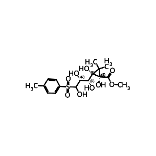 COC(=O)[C@]1(O)C(C)(C)[C@]1(O)[C@H](O)[C@@H](O)C(O)S(=O)(=O)c1ccc(C)cc1